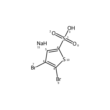 O=S(=O)(O)c1cc(Br)c(Br)s1.[NaH]